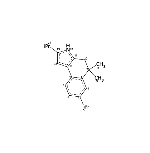 CC(C)c1ccc2c(c1)C(C)(C)Cc1[nH]c(C(C)C)cc1-2